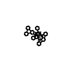 Cc1cc(-n2c3ccccc3c3ccc4c5ccccc5n(-c5nc(-c6ccccc6)nc(-c6ccccc6)n5)c4c32)ccc1-c1ccc2c3ccccc3c3ccccc3c2c1